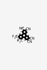 N#Cc1cc2c3cc(C#N)c(C#N)cc3c3cc(C(F)(F)F)c(C(F)(F)F)cc3c2cc1C#N